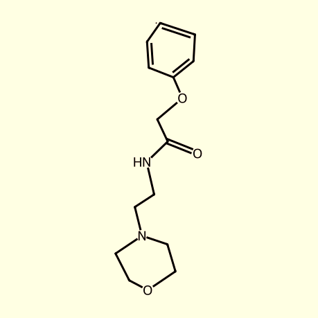 O=C(COc1cc[c]cc1)NCCN1CCOCC1